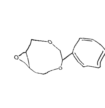 c1ccc(C2OCC3OC3CO2)cc1